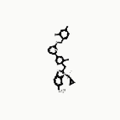 Cc1ccc(COc2cccc(-c3ccc(Cc4nc5ccc(C(=O)O)cc5n4[C@H](C)C4CC4)c(F)c3)n2)c(F)c1